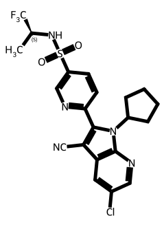 C[C@H](NS(=O)(=O)c1ccc(-c2c(C#N)c3cc(Cl)cnc3n2C2CCCC2)nc1)C(F)(F)F